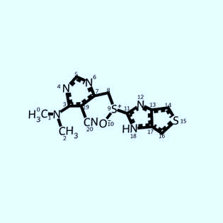 CN(C)c1ncnc(C[S+]([O-])c2nc3cscc3[nH]2)c1C#N